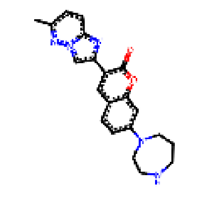 Cc1ccc2nc(-c3cc4ccc(N5CCCNCC5)cc4oc3=O)cn2n1